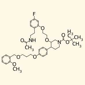 COc1ccccc1COCCCOc1ccc(C2CCN(C(=O)OC(C)(C)C)CC2OCCOc2cc(F)ccc2CCNC(C)=O)cc1